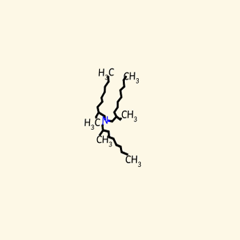 CCCCCCCCC(CC)CN(CC(CC)CCCCCCCC)CC(CC)CCCCCCCC